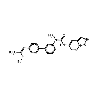 CCO/C(=C\c1ccc(-c2cccc(N(C)C(=O)NC3=CC4=CNSN4C=C3)c2)cc1)C(=O)O